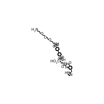 CN1c2cc(Cc3ncc[nH]3)ccc2C(=O)CC1C(=O)NCC(NS(=O)(=O)c1ccc(-c2ccc(S(=O)(=O)NCCCOCCOCCOCCCN)cc2)cc1)C(=O)O